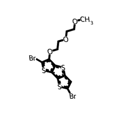 COCCOCCOc1c(Br)sc2c1sc1cc(Br)sc12